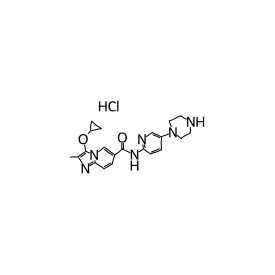 Cc1nc2ccc(C(=O)Nc3ccc(N4CCNCC4)cn3)cn2c1OC1CC1.Cl